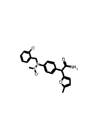 Cc1ccc(C(C(N)=O)c2ccc(N(Cc3ccccc3Cl)[S+](C)[O-])cc2)o1